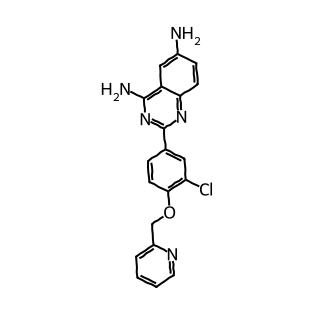 Nc1ccc2nc(-c3ccc(OCc4ccccn4)c(Cl)c3)nc(N)c2c1